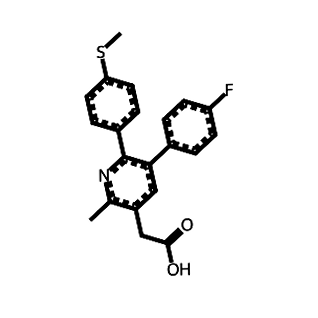 CSc1ccc(-c2nc(C)c(CC(=O)O)cc2-c2ccc(F)cc2)cc1